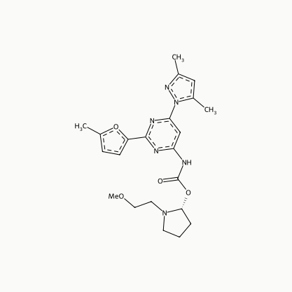 COCCN1CCC[C@H]1OC(=O)Nc1cc(-n2nc(C)cc2C)nc(-c2ccc(C)o2)n1